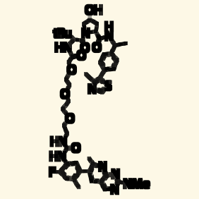 CNc1ncc2cc(-c3cc(NC(=O)NCCOCCOCCOCC(=O)NC(C(=O)N4C[C@H](O)C[C@H]4C(=O)NC(C)c4ccc(-c5scnc5C)cc4)C(C)(C)C)c(F)cc3C)c(C)nc2n1